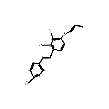 C/C=C/Oc1ccc(CCc2ccc(CC)cc2)c(F)c1F